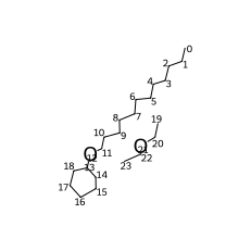 CCCCCCCCCCCCOC1CCCCC1.CCOCC